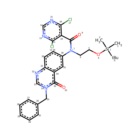 CC(C)(C)[Si](C)(C)OCCN(C(=O)c1c(Cl)ncnc1Cl)c1ccc2ncn(Cc3ccccc3)c(=O)c2c1